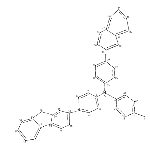 Cc1ccc(N(c2ccc(-c3ccc4c(c3)Cc3ccccc3-4)cc2)c2ccc(-c3ccc4ccccc4c3)cc2)cc1